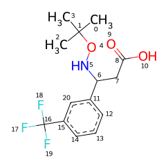 CC(C)(C)ONC(CC(=O)O)c1cccc(C(F)(F)F)c1